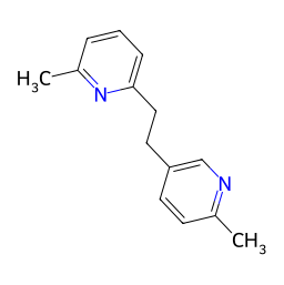 Cc1ccc(CCc2cccc(C)n2)cn1